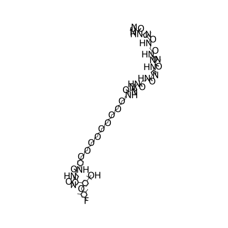 Cc1cc(F)cc(C)c1Oc1ccc(C(C)(C)O)cc1-c1cn(C)c(=O)c2[nH]c(C(=O)Nc3ccc(OCCOCCOCCOCCOCCOCCOCCOCCOCCNC(=O)c4nc(NC(=O)CCNC(=O)c5cc(NC(=O)c6nc(NC(=O)CCNC(=O)c7cc(NC(=O)c8nccn8C)cn7C)cn6C)cn5C)cn4C)cc3)cc12